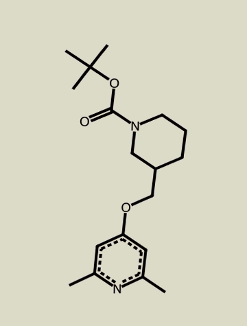 Cc1cc(OCC2CCCN(C(=O)OC(C)(C)C)C2)cc(C)n1